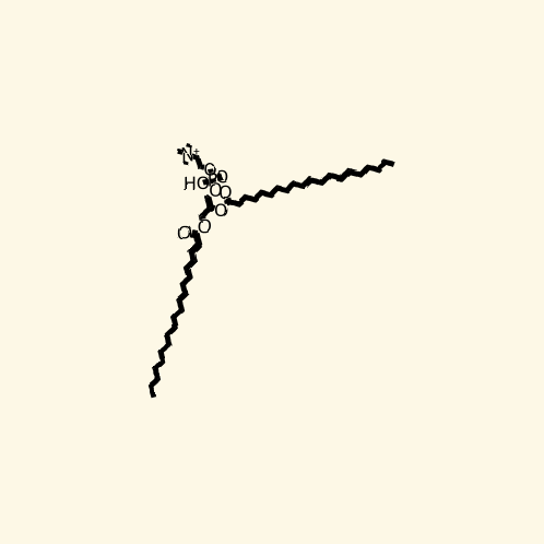 CCCCCCCCCCCCCCCCCC=CC(=O)OCC(COP(=O)(O)OCC[N+](C)(C)C)OC(=O)CCCCCCCCCCCCCCCCCCC